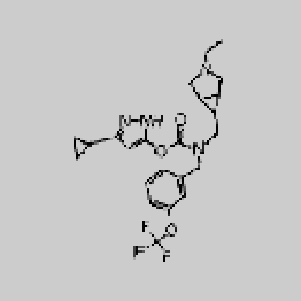 CCN1CC2C(C1)C2CN(Cc1cccc(OC(F)(F)F)c1)C(=O)Oc1cc(C2CC2)n[nH]1